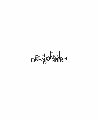 CCN(CC)CCCNC(=O)c1ccc(Nc2nccc(Nc3cc(C4CC4)n[nH]3)n2)cc1